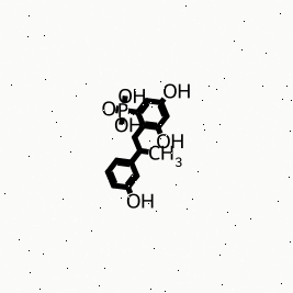 CC(Cc1c(O)cc(O)cc1P(=O)(O)O)c1cccc(O)c1